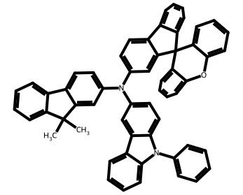 CC1(C)c2ccccc2-c2ccc(N(c3ccc4c(c3)C3(c5ccccc5Oc5ccccc53)c3ccccc3-4)c3ccc4c(c3)c3ccccc3n4-c3ccccc3)cc21